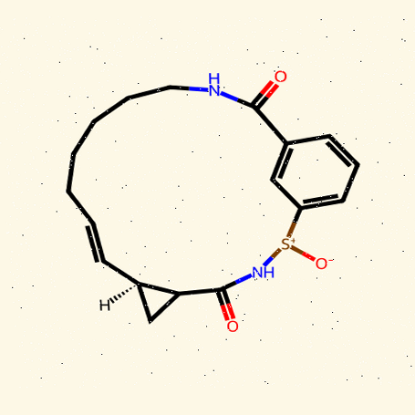 O=C1NCCCCC/C=C/[C@@H]2CC2C(=O)N[S+]([O-])c2cccc1c2